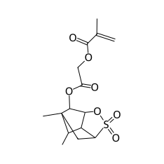 C=C(C)C(=O)OCC(=O)OC1C2OS(=O)(=O)C3CC1(C)C(C)C23